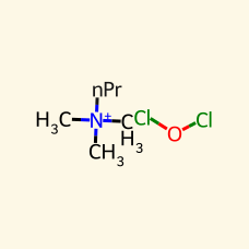 CCC[N+](C)(C)C.ClOCl